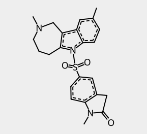 Cc1ccc2c(c1)c1c(n2S(=O)(=O)c2ccc3c(c2)CC(=O)N3C)CCCN(C)C1